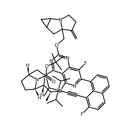 C=C1CCN2C3CC3CC12COc1nc2c3c(nc(-c4cccc5ccc(F)c(C#C[Si](C(C)C)(C(C)C)C(C)C)c45)c(F)c3n1)O[C@@H](C)[C@@H]1[C@@H]3CC[C@H](CN21)N3C(=O)OC(C)(C)C